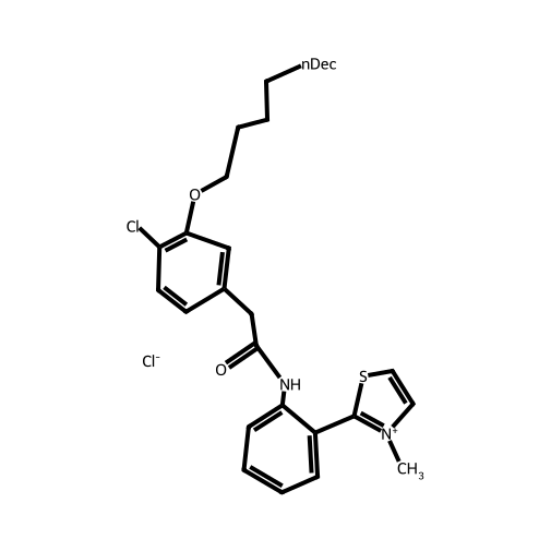 CCCCCCCCCCCCCCOc1cc(CC(=O)Nc2ccccc2-c2scc[n+]2C)ccc1Cl.[Cl-]